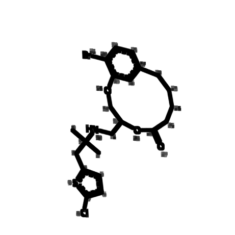 CC(C)(Cc1ccc(Cl)s1)NCC1COc2cc(ccc2Br)CCCCC(=O)O1